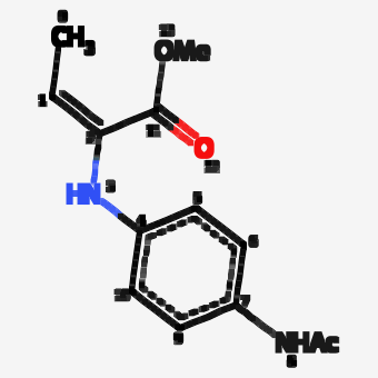 CC=C(Nc1ccc(NC(C)=O)cc1)C(=O)OC